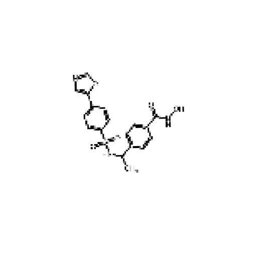 CC(NS(=O)(=O)c1ccc(-c2cnco2)cc1)c1ccc(C(=O)NO)cc1